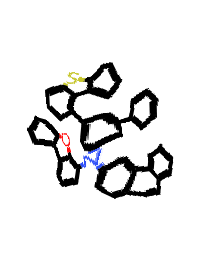 c1ccc(-c2cc(-c3cccc4sc5ccccc5c34)cc(N(c3ccc4ccc5ccccc5c4c3)c3cccc4c3oc3ccccc34)c2)cc1